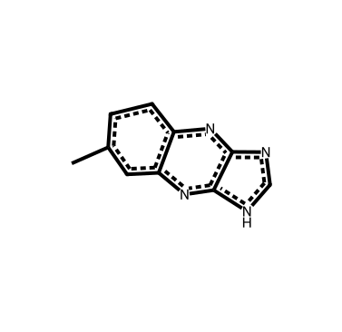 Cc1ccc2nc3nc[nH]c3nc2c1